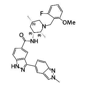 COc1cccc(F)c1CN1C[C@@H](C)C[C@@H](NC(=O)c2ccc3[nH]nc(-c4ccc5nn(C)cc5c4)c3c2)[C@H]1C